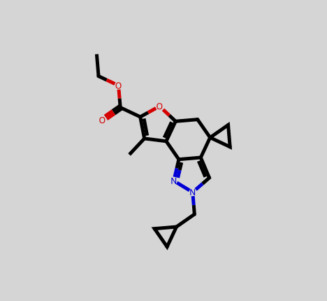 CCOC(=O)c1oc2c(c1C)-c1nn(CC3CC3)cc1C1(CC1)C2